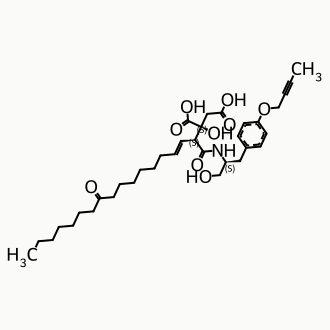 CC#CCOc1ccc(C[C@@H](CO)NC(=O)[C@@H](C=CCCCCCCC(=O)CCCCCCC)[C@@](O)(CC(=O)O)C(=O)O)cc1